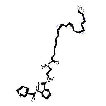 CC/C=C\C/C=C\C/C=C\C/C=C\CC=CCCCC(=O)NCCNC(=O)c1ccccc1NC(=O)c1cccnc1